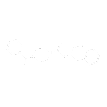 CC(c1ccccc1)N1CCN(C(=O)NC(CS)Cc2ccccc2)CC1